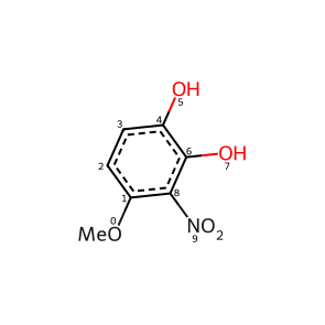 COc1ccc(O)c(O)c1[N+](=O)[O-]